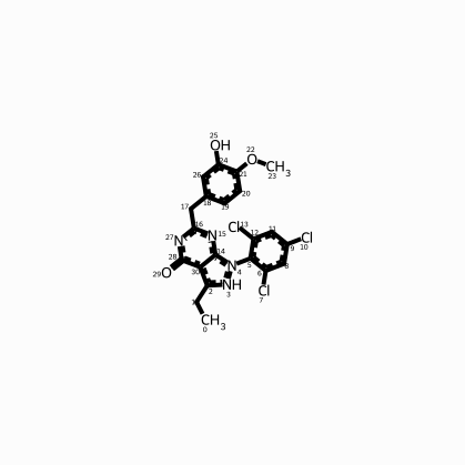 CCc1[nH]n(-c2c(Cl)cc(Cl)cc2Cl)c2nc(Cc3ccc(OC)c(O)c3)nc(=O)c1-2